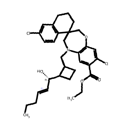 CCC/C=C/[C@H](O)C1CCC1CN1CC2(CCCc3cc(Cl)ccc32)COc2cc(Cl)c(C(=O)OCC)cc21